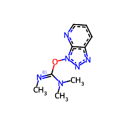 C/N=C(/On1nnc2cccnc21)N(C)C